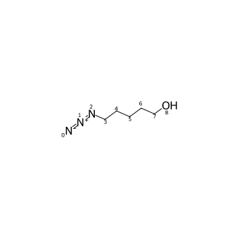 [N-]=[N+]=NCCCCCO